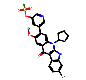 CCOc1cc2c(=O)c3c4ccc(C#N)cc4[nH]c3n(C3CCCC3)c2cc1-c1cncc(OS(=O)(=O)F)c1